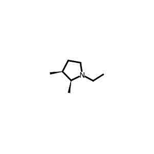 CCN1CC[C@H](C)[C@@H]1C